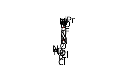 CC(C)n1ncn(-c2ccc(N3CCN(c4ccc(OC[C@@H]5CO[C@@](Cn6ccnc6)(c6ccc(Cl)cc6Cl)O5)cn4)CC3)c(F)c2)c1=O